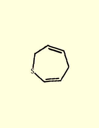 C1=CCSC=CC1